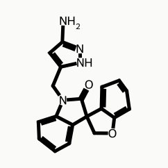 Nc1cc(CN2C(=O)C3(COc4ccccc43)c3ccccc32)[nH]n1